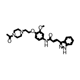 COc1cc(NC(=O)C=Cc2n[nH]c3ccccc23)ccc1OCCN1CCN(C(C)=O)CC1